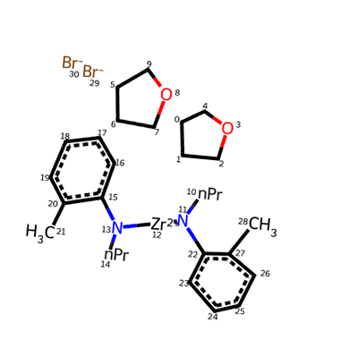 C1CCOC1.C1CCOC1.CCC[N]([Zr+2][N](CCC)c1ccccc1C)c1ccccc1C.[Br-].[Br-]